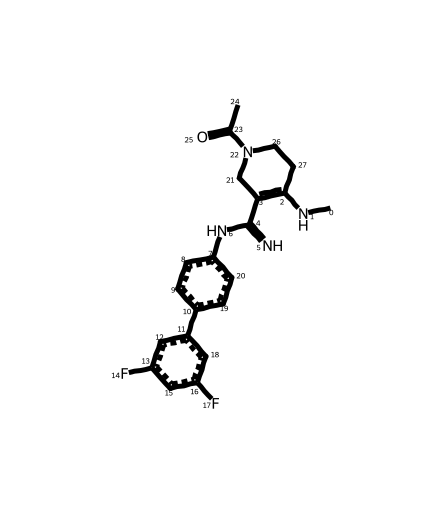 CNC1=C(C(=N)Nc2ccc(-c3cc(F)cc(F)c3)cc2)CN(C(C)=O)CC1